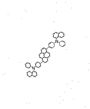 C1=CCC(N(c2cccc3ccccc23)C2C=CC(c3ccc4ccc5c(-c6ccc(N(c7ccccc7)c7cccc8ccccc78)cc6)ccc6ccc3c4c65)=CC2)C=C1